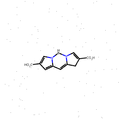 O=C(O)C1=CN2Bn3cc(C(=O)O)cc3C=C2C1